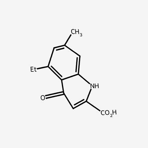 CCc1cc(C)cc2[nH]c(C(=O)O)cc(=O)c12